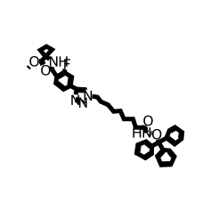 COC(=O)C1(NCc2ccc(-c3cn(CCCCCCCCC(=O)NOC(c4ccccc4)(c4ccccc4)c4ccccc4)nn3)cc2F)CCC1